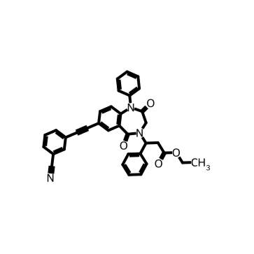 CCOC(=O)CC(c1ccccc1)N1CC(=O)N(c2ccccc2)c2ccc(C#Cc3cccc(C#N)c3)cc2C1=O